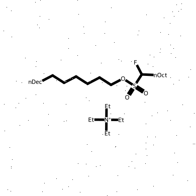 CCCCCCCCCCCCCCCCOS(=O)(=O)C(F)CCCCCCCC.CC[N+](CC)(CC)CC